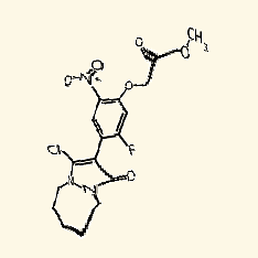 COC(=O)COc1cc(F)c(-c2c(Cl)n3n(c2=O)CCCCC3)cc1[N+](=O)[O-]